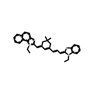 CCN1/C(=C/C=C/C2=CC(=C/c3sc4ccc5ccccc5c4[n+]3CC)/CC(C)(C)C2)Sc2ccccc21